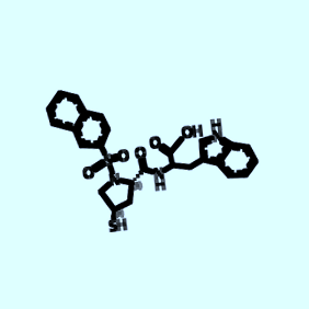 O=C(O)C(Cc1c[nH]c2ccccc12)NC(=O)[C@@H]1C[C@@H](S)CN1S(=O)(=O)c1ccc2ccccc2c1